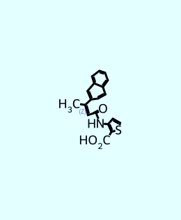 C/C(=C/C(=O)Nc1ccsc1C(=O)O)c1ccc2ccccc2c1